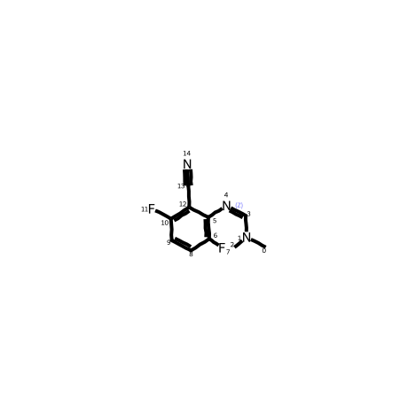 CN(C)/C=N\c1c(F)ccc(F)c1C#N